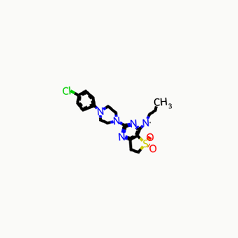 CCC[N]c1nc(N2CCN(c3ccc(Cl)cc3)CC2)nc2c1S(=O)(=O)CC2